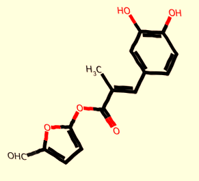 C/C(=C\c1ccc(O)c(O)c1)C(=O)Oc1ccc(C=O)o1